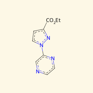 CCOC(=O)c1ccn(-c2cnccn2)n1